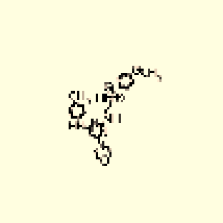 COc1ccc(S(=O)(=O)NCCNc2nc(Nc3ccc(C)cc3)cc(N3CCOCC3)n2)cc1